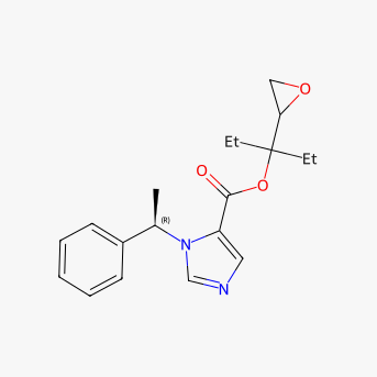 CCC(CC)(OC(=O)c1cncn1[C@H](C)c1ccccc1)C1CO1